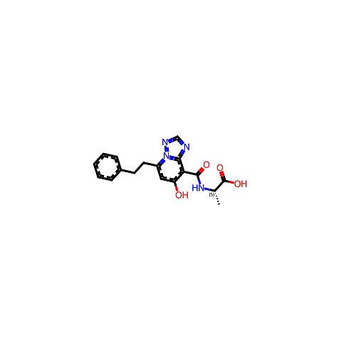 C[C@H](NC(=O)c1c(O)cc(CCc2ccccc2)n2ncnc12)C(=O)O